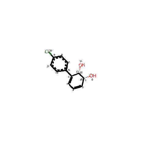 O[C@@H]1C=CC=C(c2ccc(Cl)cc2)[C@@H]1O